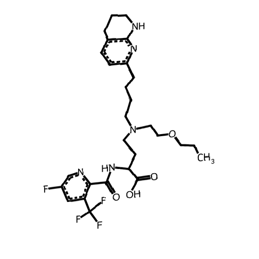 CCCOCCN(CCCCc1ccc2c(n1)NCCC2)CCC(NC(=O)c1ncc(F)cc1C(F)(F)F)C(=O)O